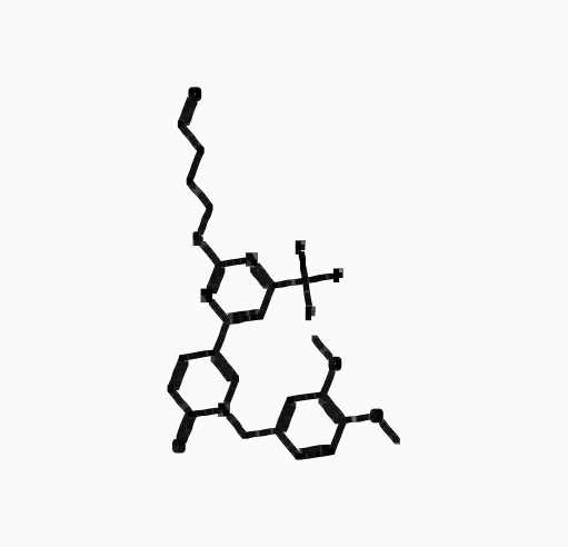 COc1ccc(Cn2cc(-c3cc(C(F)(F)F)nc(SCCCC=O)n3)ccc2=O)cc1OC